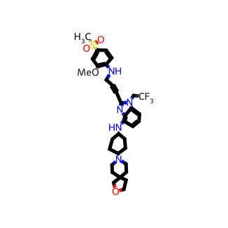 COc1cc(S(C)(=O)=O)ccc1NCC#Cc1nc2c(N[C@H]3CC[C@H](N4CCC5(CCOC5)CC4)CC3)cccc2n1CC(F)(F)F